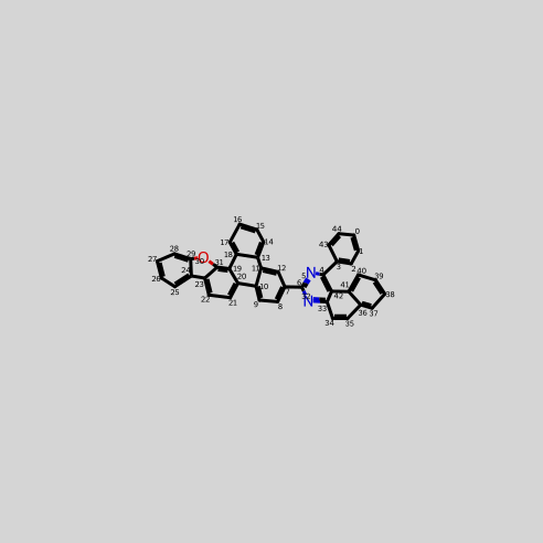 c1ccc(-c2nc(-c3ccc4c(c3)c3ccccc3c3c4ccc4c5ccccc5oc43)nc3ccc4ccccc4c23)cc1